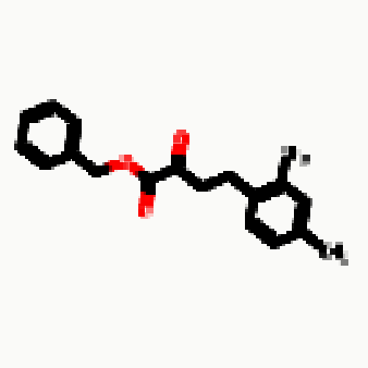 Cc1ccc(CCC(=O)C(=O)OCc2ccccc2)c(C)c1